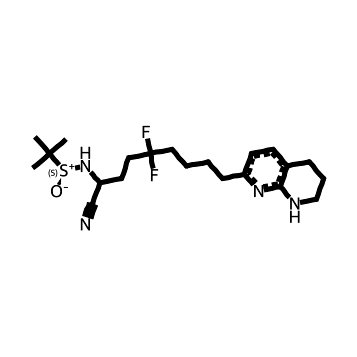 CC(C)(C)[S@@+]([O-])NC(C#N)CCC(F)(F)CCCCc1ccc2c(n1)NCCC2